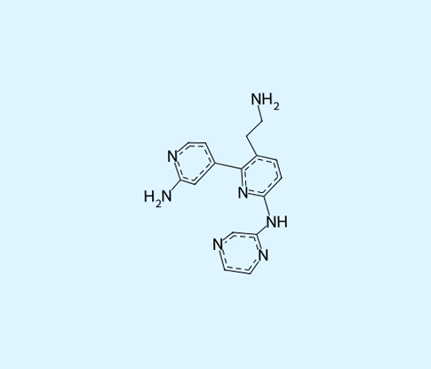 NCCc1ccc(Nc2cnccn2)nc1-c1ccnc(N)c1